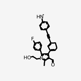 CNc1ccc(C#CC2=CC(c3c(C=O)c(C)n(CCO)c3-c3ccc(F)cc3)=CCC2)cc1